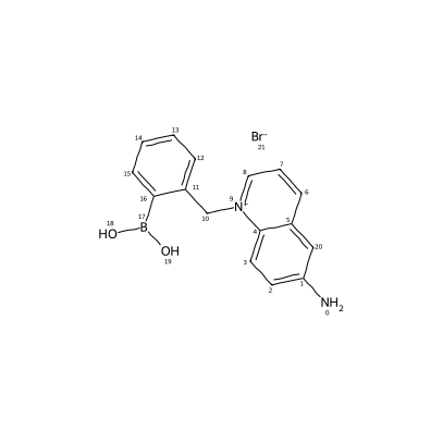 Nc1ccc2c(ccc[n+]2Cc2ccccc2B(O)O)c1.[Br-]